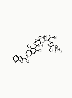 CO[C@@H]1CN(/C(=N\C#N)NC[C@H](NC(=O)c2c(Cl)cc3c(c2Cl)CCN(C(=O)c2cc4ccccc4o2)C3)C(=O)O)C[C@H]1C